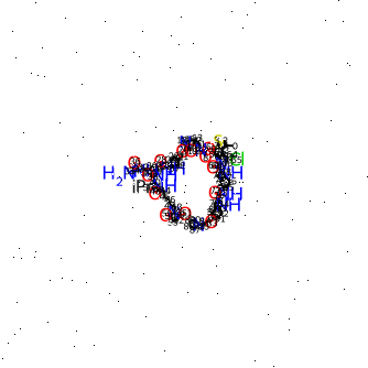 Cc1csc2c(OC(=O)N(C)CC(C)(C)CN(C)C(=O)OCc3ccc(NC(=O)[C@H](CCCNC(N)=O)NC(=O)[C@@H](NC(=O)CCCCCN4C(=O)C=CC4=O)C(C)C)cc3)cc3c(c12)[C@H](CCl)CN3C(=O)c1cc2cc(NC(=O)c3cc4cc(OCCN5CCCC5)ccc4[nH]3)ccc2[nH]1